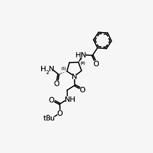 CC(C)(C)OC(=O)NCC(=O)N1C[C@H](NC(=O)c2ccccc2)C[C@H]1C(N)=O